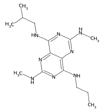 CCCNc1nc(NC)nc2c(NCC(C)C)nc(NC)nc12